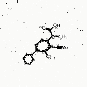 Cc1c(-c2ccccc2)ccc(C(C)C(=O)O)c1C#N